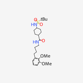 COc1cccc(CCCCNC(=O)C2CCC(NS(=O)(=O)C(C)(C)C)CC2)c1OC